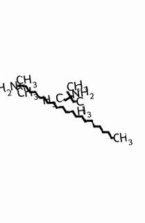 CCC(N)(CC)CC.CCCCCCCCCCCCCCCCCCCCCC(C)(C)N